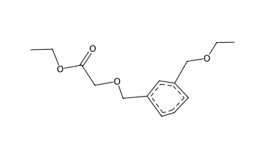 CCOCc1cccc(COCC(=O)OCC)c1